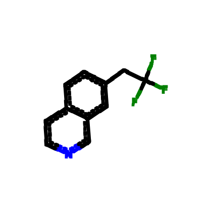 FC(F)(F)Cc1ccc2ccncc2c1